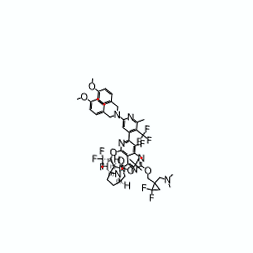 COc1ccc(CN(Cc2ccc(OC)cc2)c2cc(-c3nc4c5c(nc(OCC6(CN(C)C)CC6(F)F)nc5c3F)N3C[C@H]5CC[C@@H]([C@H]3[C@H](C(F)(F)F)O4)N5C(=O)OC(C)(C)C)c(C(F)(F)F)c(C)n2)cc1